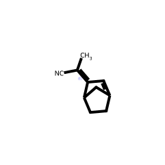 C/C(C#N)=C1\C=C2CCC1C2